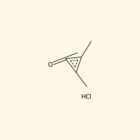 Cc1c(C)c1=O.Cl